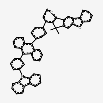 CC1(C)c2cc3oc4ccccc4c3cc2-c2cccc(-c3ccc(-c4c5ccccc5c(-c5cccc(-n6c7ccccc7c7ccccc76)c5)c5ccccc45)cc3)c21